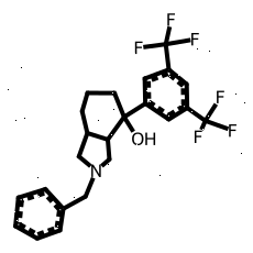 OC1(c2cc(C(F)(F)F)cc(C(F)(F)F)c2)CCCC2CN(Cc3ccccc3)CC21